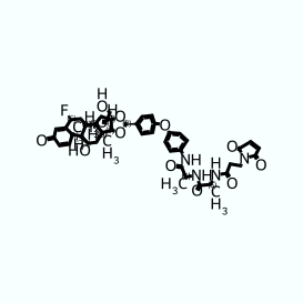 C[C@H](NC(=O)CCN1C(=O)C=CC1=O)C(=O)N[C@@H](C)C(=O)Nc1ccc(Oc2ccc([C@@H]3O[C@@H]4C[C@H]5[C@@H]6C[C@H](F)C7=CC(=O)C=C[C@]7(C)[C@H]6[C@@H](O)C[C@]5(C)[C@]4(C(=O)CO)O3)cc2)cc1